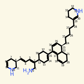 NC/C(=C\C=C\[C@@H]1CC=CNC1)C1CC=C(C2=C3C=CCCC3[C@H](CCCCCC3=CNCCC3)C=C2)CC1